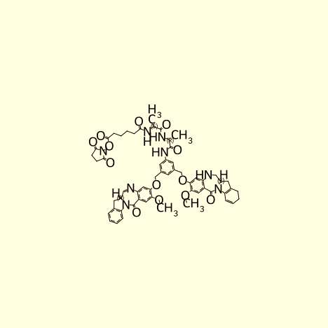 COc1cc2c(cc1OCc1cc(COc3cc4c(cc3OC)C(=O)N3C5=C(CCC=C5)C[C@H]3CN4)cc(NC(=O)[C@@H](C)NC(=O)[C@H](C)NC(=O)CCCCC(=O)ON3C(=O)CCC3=O)c1)N=C[C@H]1Cc3ccccc3N1C2=O